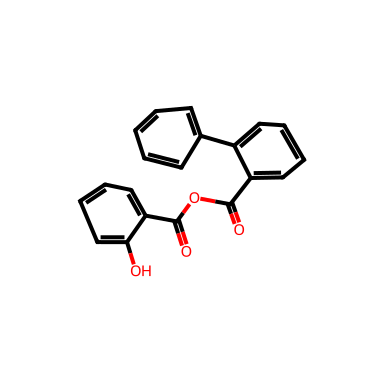 O=C(OC(=O)c1ccccc1-c1ccccc1)c1ccccc1O